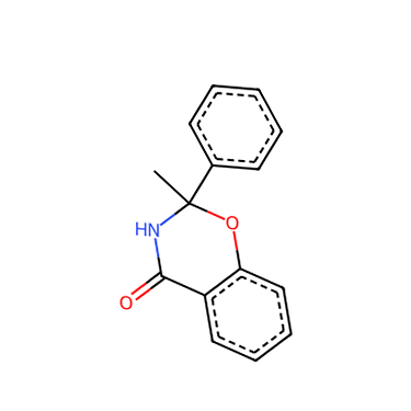 CC1(c2ccccc2)NC(=O)c2ccccc2O1